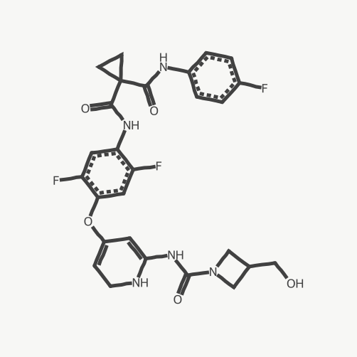 O=C(NC1=CC(Oc2cc(F)c(NC(=O)C3(C(=O)Nc4ccc(F)cc4)CC3)cc2F)=CCN1)N1CC(CO)C1